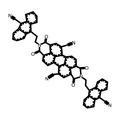 N#Cc1c2ccccc2c(CCN2C(=O)c3ccc4c5c(C#N)cc6c7c(ccc(c8c(C#N)cc(c3c48)C2=O)c75)C(=O)N(CCc2c3ccccc3c(C#N)c3ccccc23)C6=O)c2ccccc12